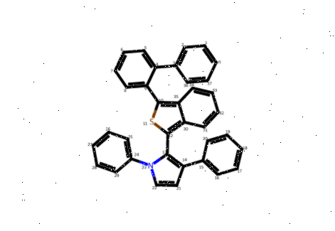 c1ccc(-c2ccccc2-c2sc(-c3c(-c4ccccc4)ccn3-c3ccccc3)c3ccccc23)cc1